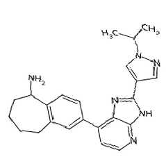 CC(C)n1cc(-c2nc3c(-c4ccc5c(c4)CCCCC5N)ccnc3[nH]2)cn1